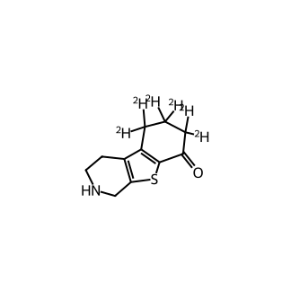 [2H]C1([2H])C(=O)c2sc3c(c2C([2H])([2H])C1([2H])[2H])CCNC3